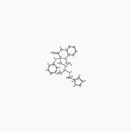 CC1c2ccccc2OC(=O)C1(Cc1ccccc1)OCC(O)CNn1ccnn1